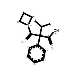 CC(C)C(C(=O)O)(C(=O)N1CCC1)c1ccccc1